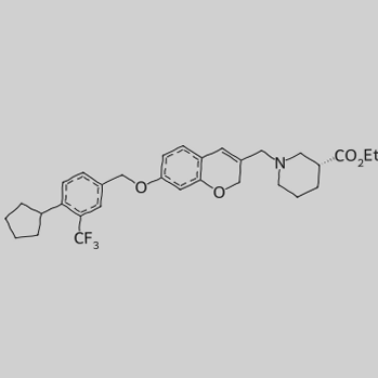 CCOC(=O)[C@@H]1CCCN(CC2=Cc3ccc(OCc4ccc(C5CCCC5)c(C(F)(F)F)c4)cc3OC2)C1